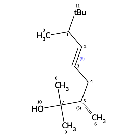 CC(/C=C/C[C@H](C)C(C)(C)O)C(C)(C)C